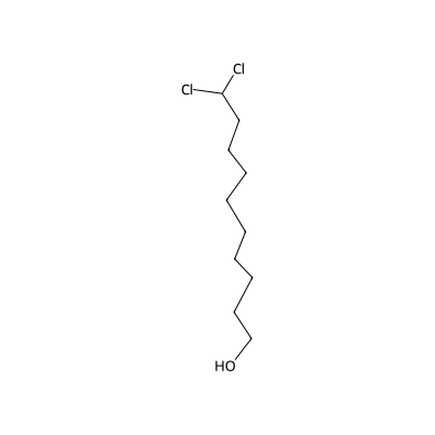 OCCCCCCCCCC(Cl)Cl